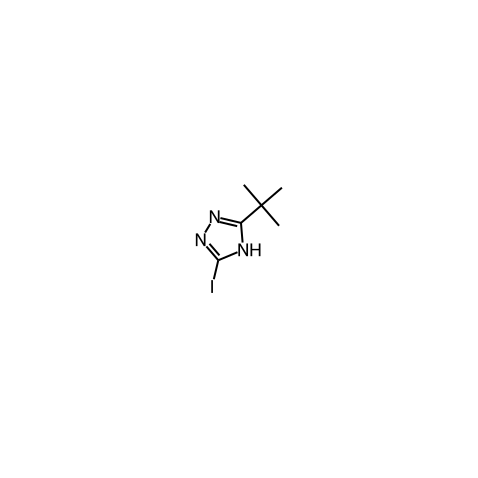 CC(C)(C)c1nnc(I)[nH]1